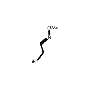 CO/N=C/CC(C)C